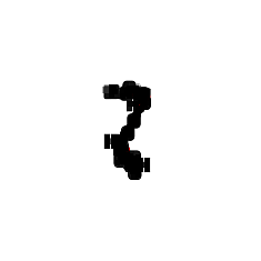 C[C@@H](NC(=O)OC(C)(C)C)c1cccc(OCCCCCOCCCOCCNc2ccc3c(c2)CN(C2CCC(=O)NC2=O)C3=O)c1